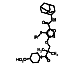 CC(C)Sc1c(OCC(C)(C)C(=O)N2CCC(C(=O)O)CC2)noc1C(=O)NC1C2CC3CC(C2)CC1C3